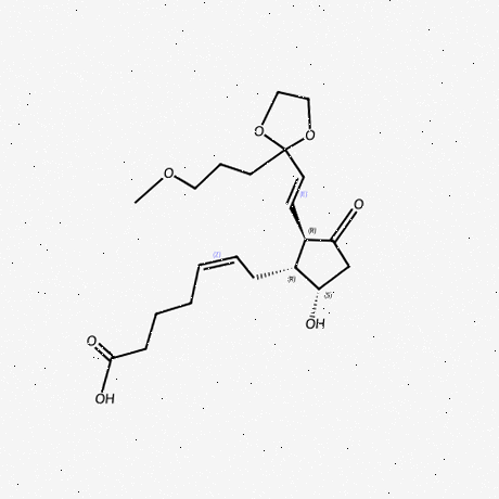 COCCCC1(/C=C/[C@H]2C(=O)C[C@H](O)[C@@H]2C/C=C\CCCC(=O)O)OCCO1